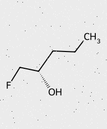 CCC[C@H](O)CF